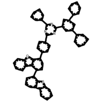 c1ccc(-c2cc(-c3ccccc3)cc(-c3nc(-c4ccccc4)nc(-c4ccc(-c5ccc(-c6cccc7c6sc6ccccc67)c6c5oc5ccccc56)cc4)n3)c2)cc1